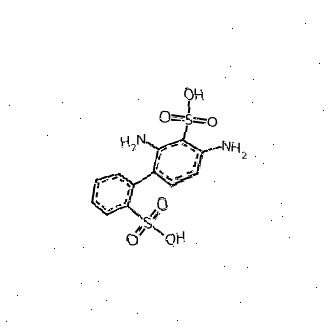 Nc1ccc(-c2ccccc2S(=O)(=O)O)c(N)c1S(=O)(=O)O